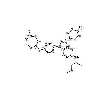 CCC[C@H](C)Nc1ncc2c(-c3ccc(CN4CCCN(C)CC4)cc3)cn(C3CCC(O)CC3)c2n1